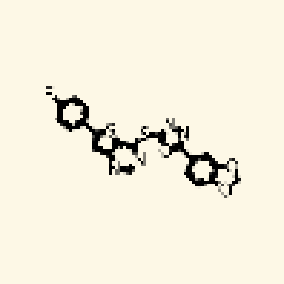 Fc1ccc(-c2cc3ncnc(Sc4nnc(-c5ccc6c(c5)OCO6)o4)c3s2)cc1